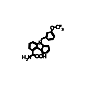 NC(=O)c1cccc2c1c1c(O)cccc1n2Cc1cccc(OC(F)(F)F)c1